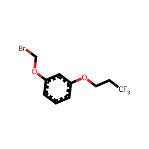 FC(F)(F)CCOc1cccc(OCBr)c1